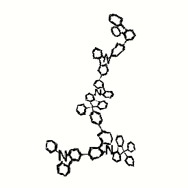 c1ccc(-n2c3ccccc3c3cc(-c4ccc5c(c4)c4cc(-c6ccc(C7(c8ccccc8)c8ccccc8-c8c(-n9c%10ccccc%10c%10cc(-c%11ccc%12c(c%11)c%11ccccc%11n%12-c%11ccc(-c%12cccc%13c%12oc%12ccccc%12%13)cc%11)ccc%109)cccc87)cc6)ccc4n5-c4cccc5c4-c4ccccc4C5(c4ccccc4)c4ccccc4)ccc32)cc1